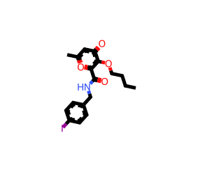 CCCCOc1c(C(=O)NCc2ccc(I)cc2)oc(C)cc1=O